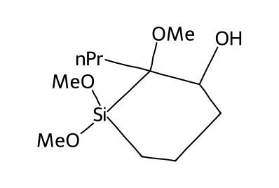 CCCC1(OC)C(O)CCC[Si]1(OC)OC